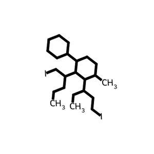 CCCC(CI)C1C(C2CCCCC2)CCC(C)C1C(CC)CCI